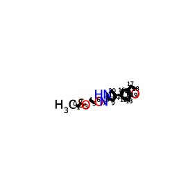 CCSOCCO/N=C1/C[C@H](c2ccc3c(c2)CCO3)CN1